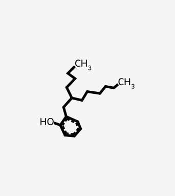 CCCCCCC(CCCC)Cc1ccccc1O